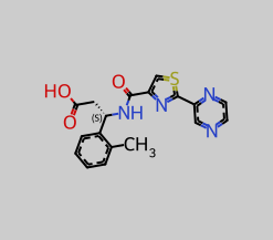 Cc1ccccc1[C@H](CC(=O)O)NC(=O)c1csc(-c2cnccn2)n1